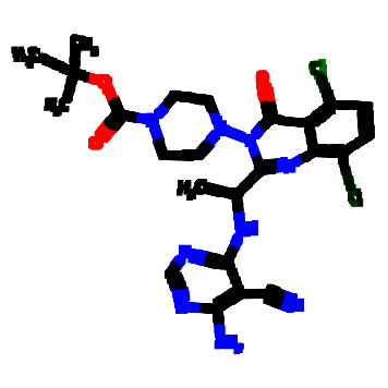 CC(Nc1ncnc(N)c1C#N)c1nc2c(Cl)ccc(Cl)c2c(=O)n1N1CCN(C(=O)OC(C)(C)C)CC1